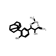 C=CC(O)C(O[SiH](C)C)c1ccc(C(C)(C)C)c(C23CC4CC(CC(C4)C2)C3)c1